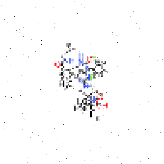 Cc1ccc(C(=O)NCC2CC2)cc1-c1nc(N2CCC(N(C(=O)O)C(C)(C)C)CC2)nc2c1CNC(=O)N2c1c(F)cccc1F